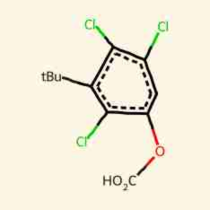 CC(C)(C)c1c(Cl)c(Cl)cc(OC(=O)O)c1Cl